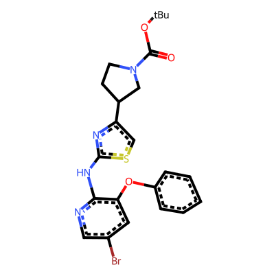 CC(C)(C)OC(=O)N1CCC(c2csc(Nc3ncc(Br)cc3Oc3ccccc3)n2)C1